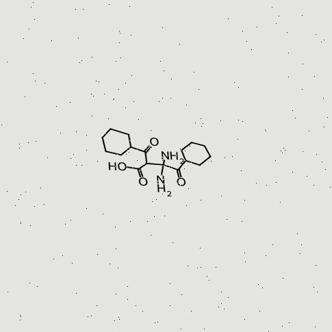 NC(N)(C(=O)C1CCCCC1)C(C(=O)O)C(=O)C1CCCCC1